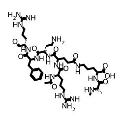 CN[C@@H](C)C(=O)NC(CCCNC(=O)CCC(NC(=O)C(CCCNC(=N)N)NC(C)=O)C(=O)N[C@@H](CCN)C(=O)NC(Cc1ccccc1)C(=O)N[C@H](C=O)CCCNC(=N)N)C(=O)O